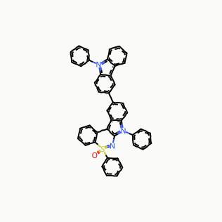 O=S1(c2ccccc2)=Nc2c(c3cc(-c4ccc5c(c4)c4ccccc4n5-c4ccccc4)ccc3n2-c2ccccc2)-c2ccccc21